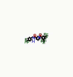 O=C(NCc1ccc(C(F)(F)F)cc1)C1CCCN(C(=O)c2cc(C(F)(F)F)cc(C(F)(F)F)c2)C1